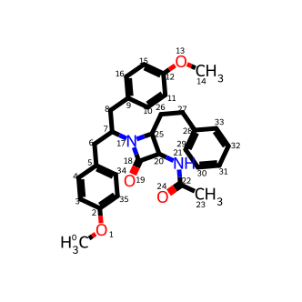 COc1ccc(CC(Cc2ccc(OC)cc2)N2C(=O)C(NC(C)=O)C2CCc2ccccc2)cc1